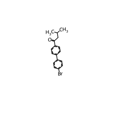 CC(C)CC(=O)c1ccc(-c2ccc(Br)cc2)cc1